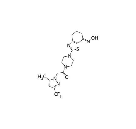 Cc1cc(C(F)(F)F)nn1CC(=O)N1CCN(c2nc3c(s2)C(=NO)CCC3)CC1